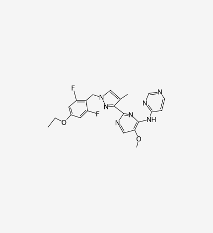 CCOc1cc(F)c(Cn2cc(C)c(-c3ncc(OC)c(Nc4ccncn4)n3)n2)c(F)c1